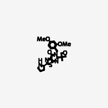 COc1ccc(Cn2c(C3(C)COC3)nc3sc([C@H]4CCCN4)nc3c2=O)c(OC)c1